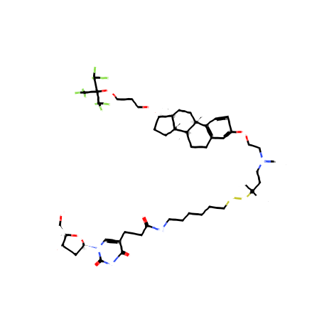 CN(CCOc1ccc2c(c1)CC[C@@H]1[C@@H]2CC[C@]2(C)[C@@H](OCCCOC(C(F)(F)F)(C(F)(F)F)C(F)(F)F)CC[C@@H]12)CCC(C)(C)SSCCCCCCNC(=O)CCc1cn([C@H]2C[C@H](O)[C@@H](CO)O2)c(=O)[nH]c1=O